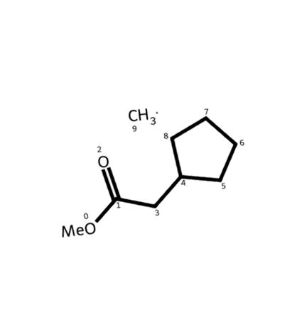 COC(=O)CC1CCCC1.[CH3]